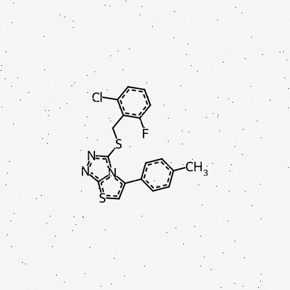 Cc1ccc(-c2csc3nnc(SCc4c(F)cccc4Cl)n23)cc1